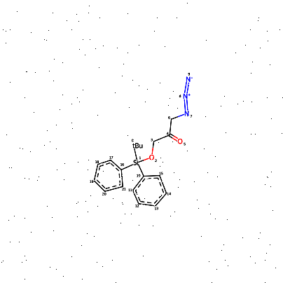 CC(C)(C)[Si](OCC(=O)CN=[N+]=[N-])(c1ccccc1)c1ccccc1